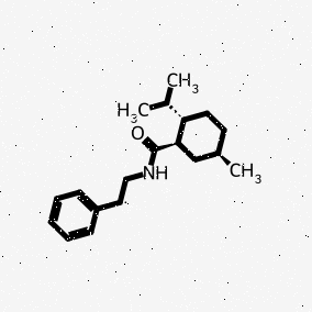 CC(C)[C@@H]1CC[C@@H](C)C[C@H]1C(=O)NC[CH]c1ccccc1